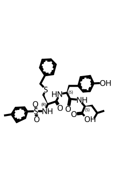 Cc1ccc(S(=O)(=O)N[C@@H](CSCc2ccccc2)C(=O)N[C@@H](Cc2ccc(O)cc2)C(=O)N[C@@H](CC(C)C)C(=O)O)cc1